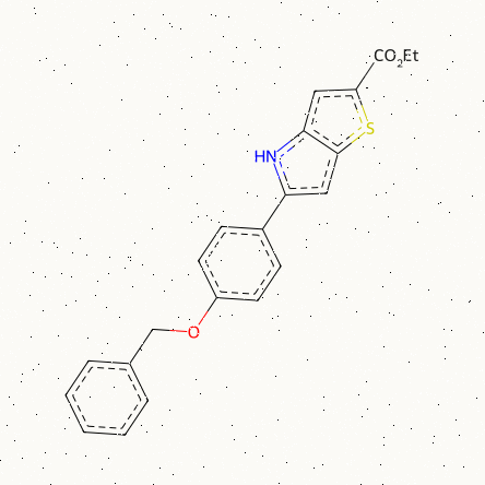 CCOC(=O)c1cc2[nH]c(-c3ccc(OCc4ccccc4)cc3)cc2s1